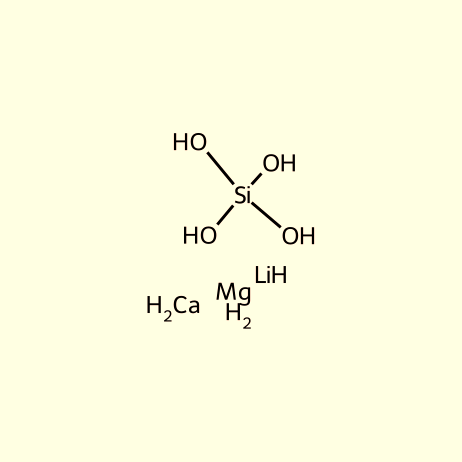 O[Si](O)(O)O.[CaH2].[LiH].[MgH2]